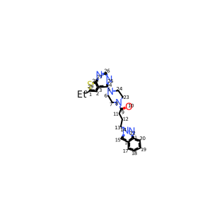 CCc1cc2c(N3CCN(C(=O)CCCn4cc5ccccc5n4)CC3)ncnc2s1